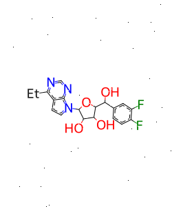 CCc1ncnc2c1ccn2C1OC(C(O)c2ccc(F)c(F)c2)C(O)C1O